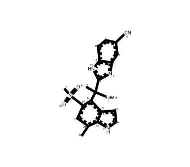 COC(C)(c1nc2cc(C#N)ccc2[nH]1)c1c(S(C)(=O)=O)cc(C)c2[nH]ccc12